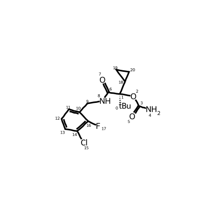 CC(C)(C)[C@](OC(N)=O)(C(=O)NCc1cccc(Cl)c1F)C1CC1